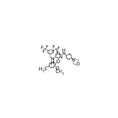 COc1cc(C)ccc1Oc1nc(Nc2ccc(N3CCOCC3)cc2)ncc1NCc1cc(C(F)(F)F)cc(C(F)(F)F)c1